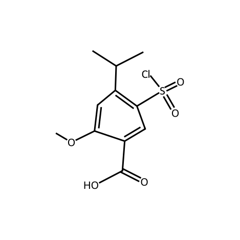 COc1cc(C(C)C)c(S(=O)(=O)Cl)cc1C(=O)O